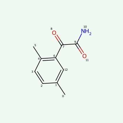 Cc1ccc(C)c(C(=O)C(N)=O)c1